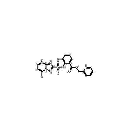 Cc1cccc(C(=O)OCc2ccccn2)c1NS(=O)(=O)c1nc2nccc(C)n2n1